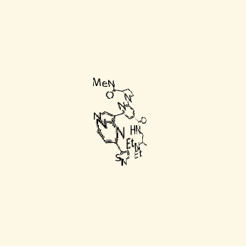 CCN(CC)C(C)CNC(=O)c1cc(-c2cnn3ccc(-c4ccns4)nc23)nc(N2CCC2C(=O)NC)c1